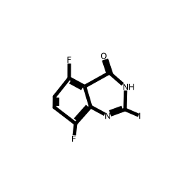 O=c1[nH]c(I)nc2c(F)ccc(F)c12